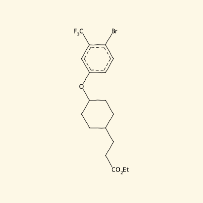 CCOC(=O)CCC1CCC(Oc2ccc(Br)c(C(F)(F)F)c2)CC1